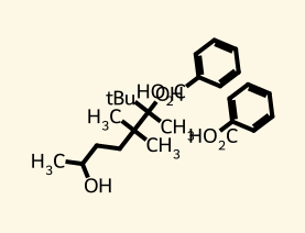 CC(O)CCC(C)(C)C(C)(O)C(C)(C)C.O=C(O)c1ccccc1.O=C(O)c1ccccc1